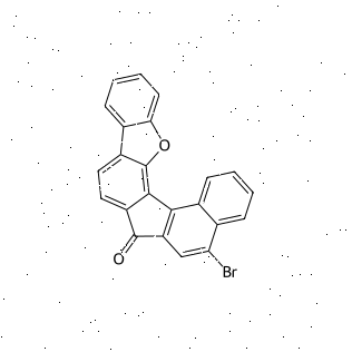 O=C1c2cc(Br)c3ccccc3c2-c2c1ccc1c2oc2ccccc21